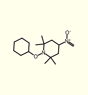 C=[N+]([O-])C1CC(C)(C)N(OC2CCCCC2)C(C)(C)C1